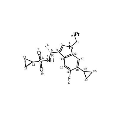 CC(C)Cn1cc([C@@H](C)NS(=O)(=O)C2CC2)c2cc(F)c(C3CC3)cc21